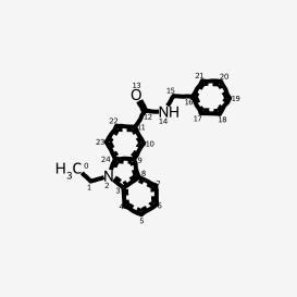 CCn1c2ccccc2c2cc(C(=O)NCc3ccccc3)ccc21